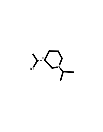 CC(O)[C@@H]1CCCN(C(C)C)C1